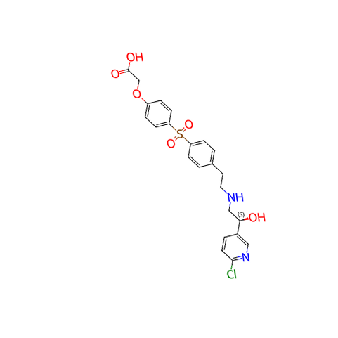 O=C(O)COc1ccc(S(=O)(=O)c2ccc(CCNC[C@@H](O)c3ccc(Cl)nc3)cc2)cc1